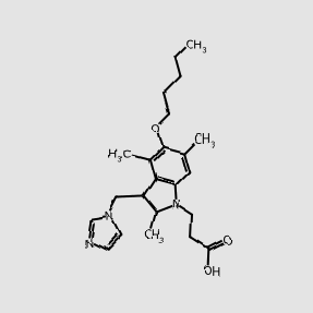 CCCCCOc1c(C)cc2c(c1C)C(Cn1ccnc1)C(C)N2CCC(=O)O